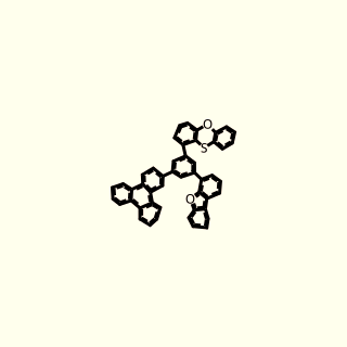 c1ccc2c(c1)Oc1cccc(-c3cc(-c4ccc5c6ccccc6c6ccccc6c5c4)cc(-c4cccc5c4oc4ccccc45)c3)c1S2